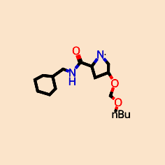 CCCCOCOC1C[N]C(C(=O)NCC2CCCCC2)C1